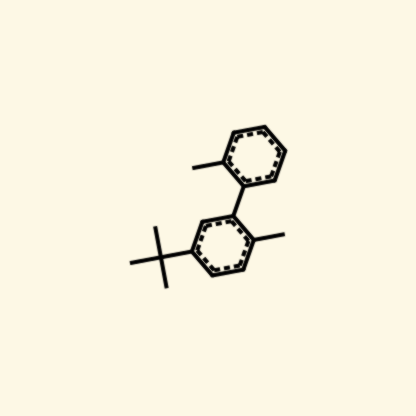 Cc1ccccc1-c1cc(C(C)(C)C)ccc1C